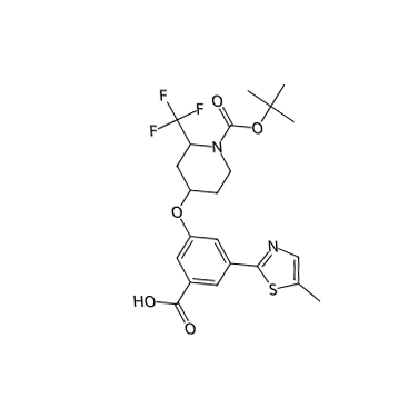 Cc1cnc(-c2cc(OC3CCN(C(=O)OC(C)(C)C)C(C(F)(F)F)C3)cc(C(=O)O)c2)s1